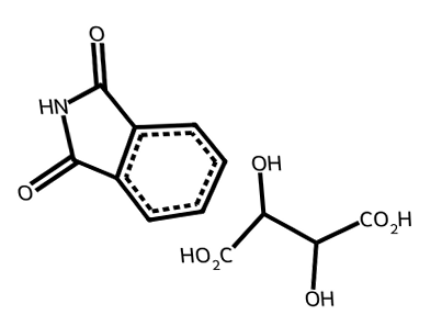 O=C(O)C(O)C(O)C(=O)O.O=C1NC(=O)c2ccccc21